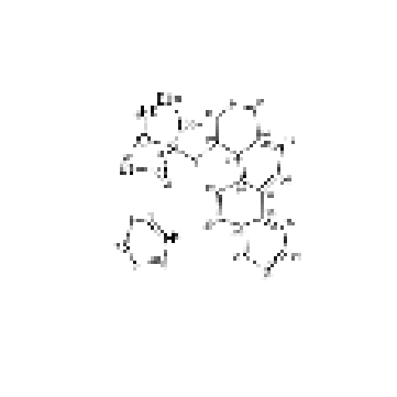 C1=CSCC=N1.CCO[Si](CC1CCCc2ccc3c(ccc4ccccc43)c21)(OCC)OCC